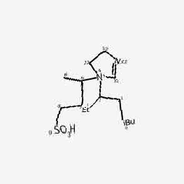 CCC(C)CC(CC)[N+]1(C(C)CCS(=O)(=O)O)C=NCC1